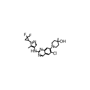 Cc1c(Nc2ncc3cc(Cl)c(N4CCC(C)(O)CC4)cc3n2)cnn1C1CC1(F)F